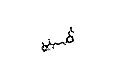 Cc1nc[nH]c1C(=O)NCCCOc1cccc(CN(C)C)c1